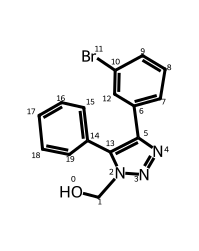 OCn1nnc(-c2cccc(Br)c2)c1-c1ccccc1